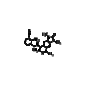 Cc1c(C#N)cccc1[C@@H](C)Nc1nnc(C)c2cc3c(cc12)n(C)c(=O)n3C